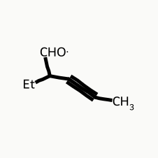 CC#CC([C]=O)CC